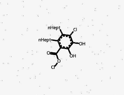 CCCCCCCc1c(Cl)c(O)c(O)c(C(=O)OCl)c1CCCCCCC